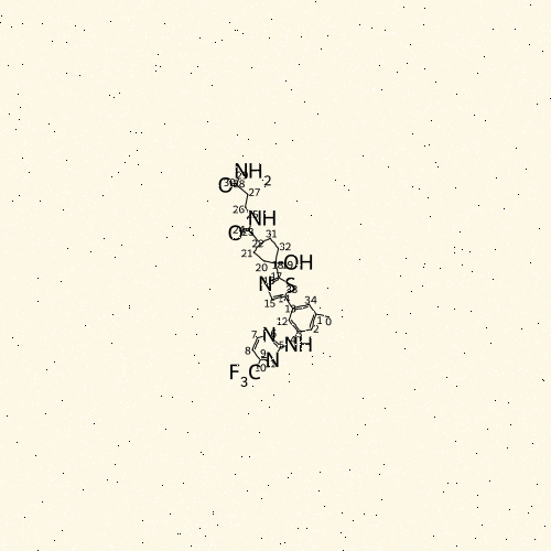 Cc1cc(Nc2nccc(C(F)(F)F)n2)cc(-c2cnc([C@]3(O)CC[C@@H](C(=O)NCCC(N)=O)CC3)s2)c1